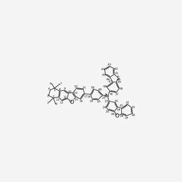 CC1(C)CCC(C)(C)c2cc3c(cc21)oc1cc(-c2ccc(N(c4ccc5oc6ccccc6c5c4)c4ccc5sc6ccccc6c5c4)cc2)ccc13